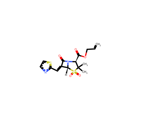 C=CCOC(=O)[C@@H]1N2C(=O)/C(=C\c3nccs3)[C@H]2S(=O)(=O)C1(C)C